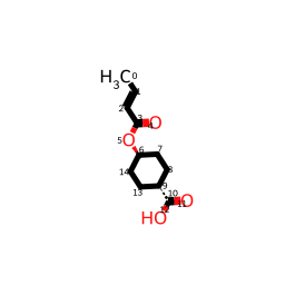 CC=CC(=O)O[C@H]1CC[C@H](C(=O)O)CC1